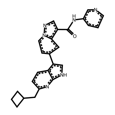 O=C(Nc1cccnc1)c1cnn2ccc(-c3c[nH]c4nc(CC5CCC5)ccc34)cc12